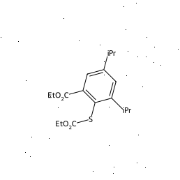 CCOC(=O)Sc1c(C(=O)OCC)cc(C(C)C)cc1C(C)C